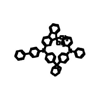 CC1(C)c2ccccc2-c2ccc(N(c3ccc(-c4ccccc4)cc3)c3ccc(C4(c5ccc(N(c6ccccc6)c6ccccc6)cc5)CC5CCC4C5)cc3)cc21